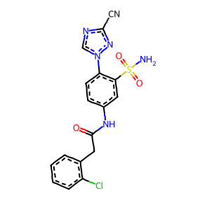 N#Cc1ncn(-c2ccc(NC(=O)Cc3ccccc3Cl)cc2S(N)(=O)=O)n1